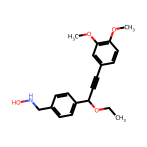 CCOC(C#Cc1ccc(OC)c(OC)c1)c1ccc(CNO)cc1